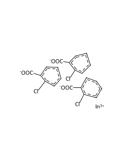 O=C([O-])c1ccccc1Cl.O=C([O-])c1ccccc1Cl.O=C([O-])c1ccccc1Cl.[In+3]